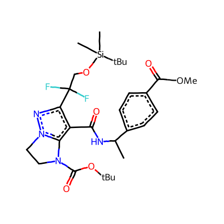 COC(=O)c1ccc(C(C)NC(=O)c2c(C(F)(F)CO[Si](C)(C)C(C)(C)C)nn3c2N(C(=O)OC(C)(C)C)CC3)cc1